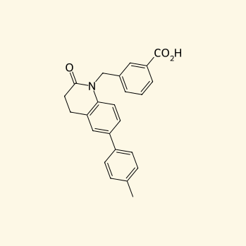 Cc1ccc(-c2ccc3c(c2)CCC(=O)N3Cc2cccc(C(=O)O)c2)cc1